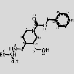 CC[SH](CC)NCC1CCN(C(=O)OCc2ccccc2)C[C@@H]1CO